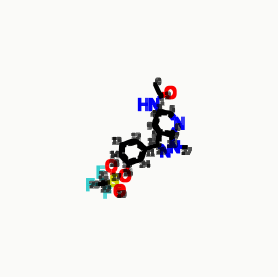 CC(=O)Nc1cnc2c(c1)c(-c1cccc(OS(=O)(=O)C(F)(F)F)c1)nn2C